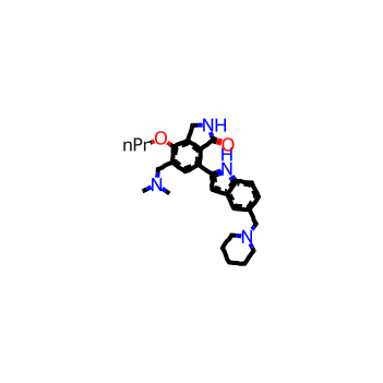 CCCOc1c(CN(C)C)cc(-c2cc3cc(CN4CCCCC4)ccc3[nH]2)c2c1CNC2=O